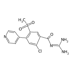 CS(=O)(=O)c1cc(C(=O)N=C(N)N)c(Cl)cc1-c1ccncc1